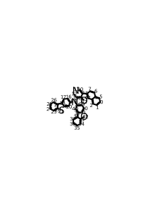 c1ccc2c(c1)ccc1c3cncc(N(c4ccc5c(c4)sc4ccccc45)c4ccc5oc6ccccc6c5c4)c3oc21